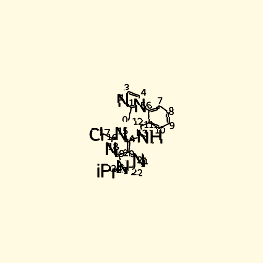 Cc1nccn1-c1ccccc1CNc1nc(Cl)nc2c1ncn2C(C)C